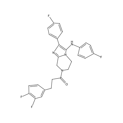 O=C(CCc1ccc(F)c(F)c1)N1CCn2c(nc(-c3ccc(F)cc3)c2Nc2ccc(F)cc2)C1